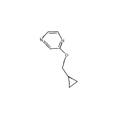 [c]1nccnc1OCC1CC1